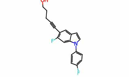 OCCCC#Cc1cc2ccn(-c3ccc(F)cc3)c2cc1F